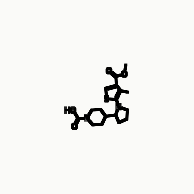 COC(=O)c1csc(N2CCCC2C2CCN(C(=O)O)CC2)c1C